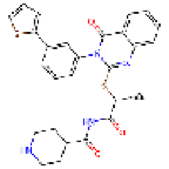 CCCCC(Sc1nc2ccccc2c(=O)n1-c1cccc(-c2cccs2)c1)C(=O)NC(=O)C1CCNCC1